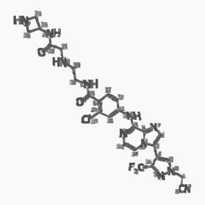 N#CCn1cc(-c2cnc3c(Nc4ccc(C(=O)NCCNCC(=O)NC5CNC5)c(Cl)c4)nccn23)c(C(F)(F)F)n1